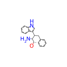 NC([C]=O)C(Cc1ccccc1)c1c[nH]c2ccccc12